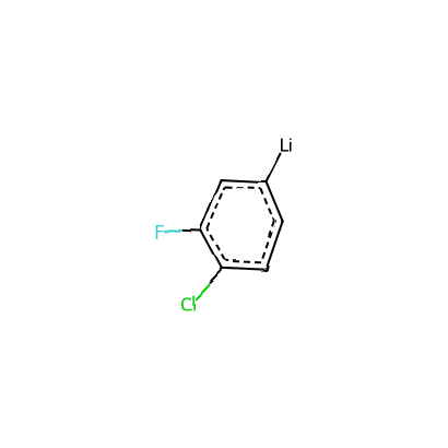 [Li][c]1ccc(Cl)c(F)c1